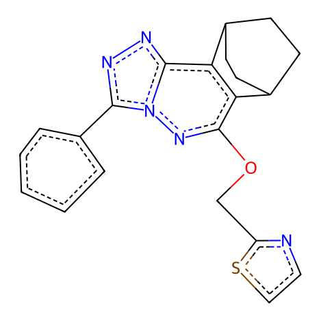 c1ccc(-c2nnc3c4c(c(OCc5nccs5)nn23)C2CCC4CC2)cc1